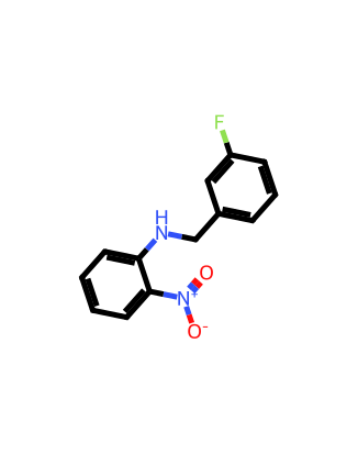 O=[N+]([O-])c1ccccc1NCc1cccc(F)c1